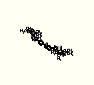 CC(C)(C)OC(=O)N[C@H](c1ncc(-c2ccc(-c3cc4ccc(-c5cnc([C@@H](NC(=O)OC(C)(C)C)C(C)(C)C)[nH]5)cc4o3)cc2)[nH]1)C(C)(C)C